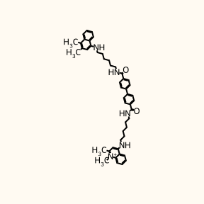 Cc1cc(NCCCCCCNC(=O)c2ccc(-c3ccc(C(=O)NCCCCCCNc4cc(C)[n+](C)c5ccccc45)cc3)cc2)c2ccccc2c1C